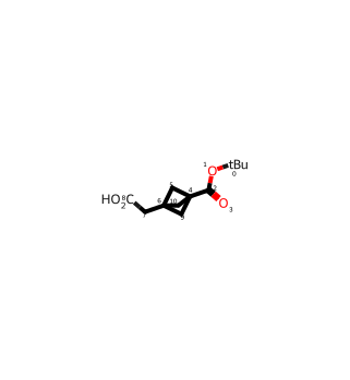 CC(C)(C)OC(=O)C12CC(CC(=O)O)(C1)C2